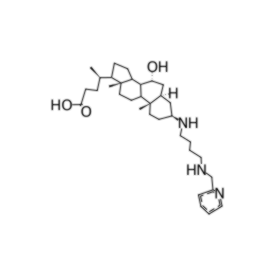 C[C@H](CCC(=O)O)C1CCC2C3C(CC[C@@]21C)[C@@]1(C)CC[C@H](NCCCCNCc2ccccn2)C[C@@H]1C[C@H]3O